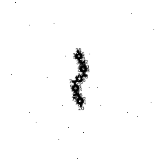 C=C(c1ccc(C(=C)c2ccc(N(CC)Cc3ccc(C)cc3)cc2)cc1)c1ccc(N(C)Cc2ccc(C)cc2)cc1